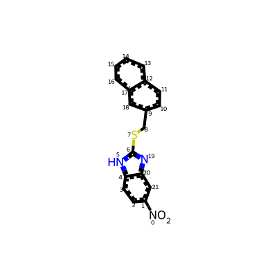 O=[N+]([O-])c1ccc2[nH]c(SCc3ccc4ccccc4c3)nc2c1